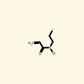 C=CC(=O)N(CC)CCI